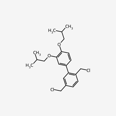 CC(C)COc1ccc(-c2cc(CCl)ccc2CCl)cc1OCC(C)C